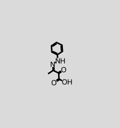 CC(=NNc1ccccc1)C(=O)C(=O)O